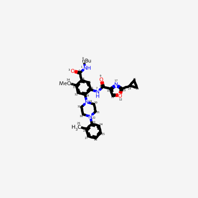 CCCCNC(=O)c1cc(NC(=O)c2coc(C3CC3)n2)c(N2CCN(c3ccccc3C)CC2)cc1OC